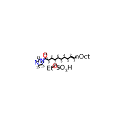 CCCCCCCCC=CCCCCCCCC(=O)N1C=NCC1.CCOS(=O)(=O)O